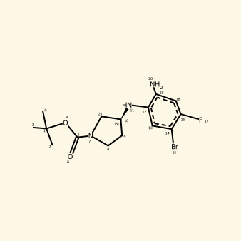 CC(C)(C)OC(=O)N1CC[C@H](Nc2cc(Br)c(F)cc2N)C1